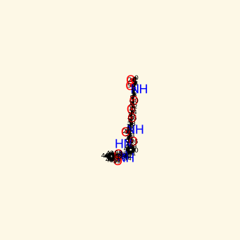 CC(=O)CC(=O)NCCCOCCOCCOCCCNC(=O)CCC(=O)Nc1cccc(/C(C)=N/NS(=O)(=O)c2ccc(C)cc2)c1